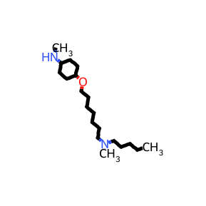 CCCCCN(C)CCCCCCCOC1CCC(NC)CC1